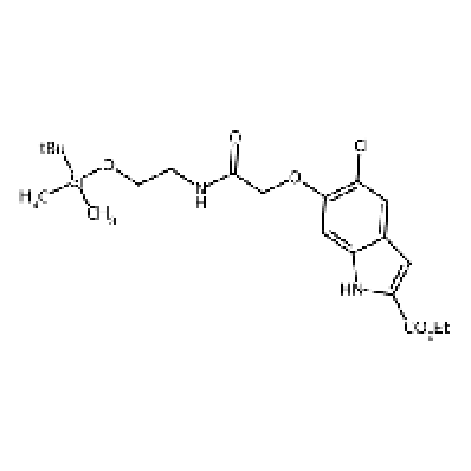 CCOC(=O)c1cc2cc(Cl)c(OCC(=O)NCCO[Si](C)(C)C(C)(C)C)cc2[nH]1